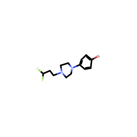 FC(F)CCN1CCN(c2ccc(Br)cc2)CC1